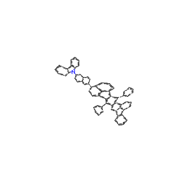 c1ccc(-c2c3cc4c5ccccc5c5cccc(c3c(-c3ccccc3)c3c6cccc7c(-c8ccc9cc(-n%10c%11ccccc%11c%11ccccc%11%10)ccc9c8)ccc(c23)c76)c54)cc1